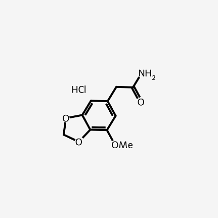 COc1cc(CC(N)=O)cc2c1OCO2.Cl